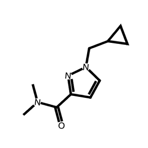 CN(C)C(=O)c1ccn(CC2CC2)n1